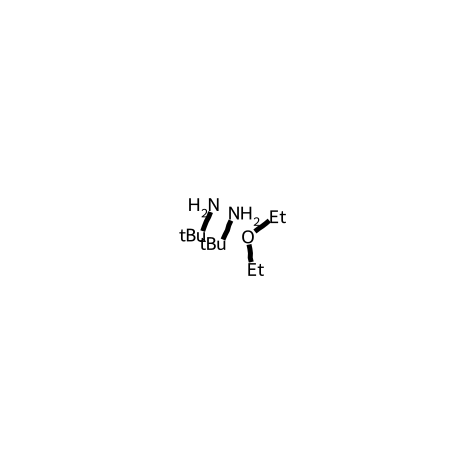 CC(C)(C)N.CC(C)(C)N.CCOCC